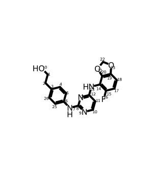 OCCc1ccc(Nc2nccc(Nc3c(F)ccc4c3OCO4)n2)cc1